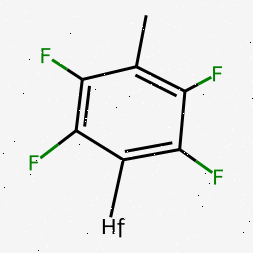 Cc1c(F)c(F)[c]([Hf])c(F)c1F